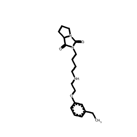 CCc1cccc(OCCNCCCCN2C(=O)C3CCCN3C2=O)c1